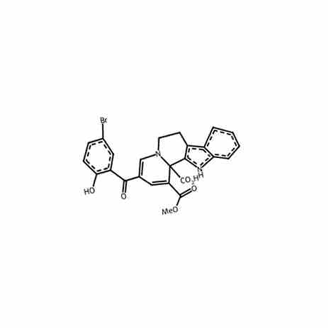 COC(=O)C1=CC(C(=O)c2cc(Br)ccc2O)=CN2CCc3c([nH]c4ccccc34)C12C(=O)O